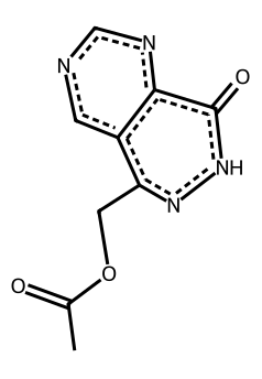 CC(=O)OCc1n[nH]c(=O)c2ncncc12